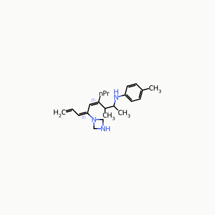 C=C/C=C(\C=C(\CCC)C(C)C(C)Nc1ccc(C)cc1)N1CNC1